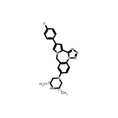 C[C@@H]1CN(c2ccc3c(c2)Cn2cc(-c4ccc(F)cc4)cc2-c2nnnn2-3)C[C@H](C)N1